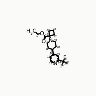 CCOC(=O)C1(N2CCC(c3ccnc(C(F)(F)F)c3)CC2)CCC1